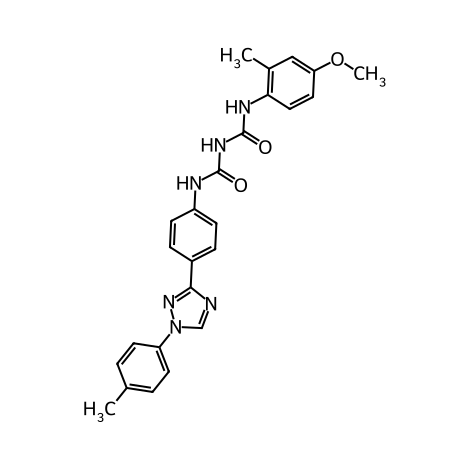 COc1ccc(NC(=O)NC(=O)Nc2ccc(-c3ncn(-c4ccc(C)cc4)n3)cc2)c(C)c1